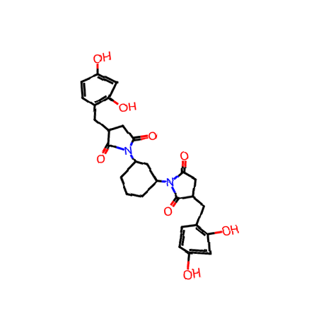 O=C1CC(Cc2ccc(O)cc2O)C(=O)N1C1CCCC(N2C(=O)CC(Cc3ccc(O)cc3O)C2=O)C1